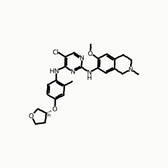 COc1cc2c(cc1Nc1ncc(Cl)c(Nc3ccc(O[C@@H]4CCOC4)cc3C)n1)CN(C)CC2